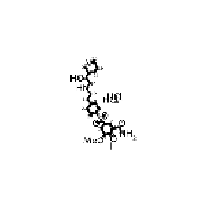 COc1cc(S(=O)(=O)c2ccc(CCNC[C@H](O)c3cccnc3)cc2)cc(C(N)=O)c1O.Cl.Cl